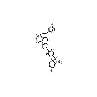 Cn1cc(-c2cn3ncnc(N4CCN(c5ncc(C(C)(O)C6(C)C=CC(F)=CC6)cn5)CC4)c3c2Cl)cn1